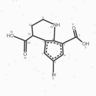 O=C(O)c1cc(Br)cc2c1NCCC2C(=O)O